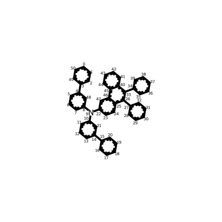 c1ccc(-c2cccc(N(c3cccc(-c4ccccc4)c3)c3ccc4c(-c5ccccc5)c(-c5ccccc5)c5ccccc5c4c3)c2)cc1